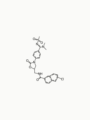 CN(C)C(=NS(C)(=O)=O)c1ccc(N2CC(CNC(=O)c3ccc4cc(Cl)ccc4c3)OC2=O)cc1